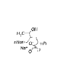 CCCCCCCCCCC(CC(CCC)S(=O)(=O)[O-])C(C)O.[Na+]